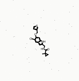 CC1(C(=O)NCc2cc3cc(Cl)c(OCc4ccsc4)cc3[nH]2)CC1